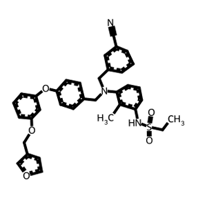 CCS(=O)(=O)Nc1cccc(N(Cc2ccc(Oc3cccc(OCc4ccoc4)c3)cc2)Cc2cccc(C#N)c2)c1C